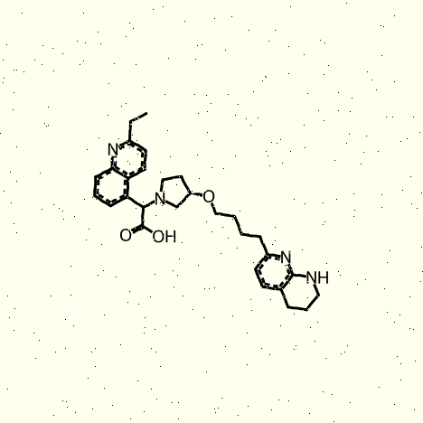 CCc1ccc2c(C(C(=O)O)N3CC[C@@H](OCCCCc4ccc5c(n4)NCCC5)C3)cccc2n1